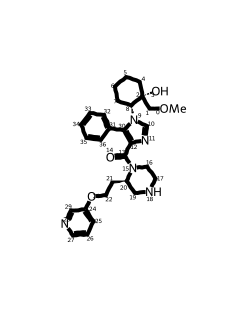 COC[C@]1(O)CCCC[C@H]1n1cnc(C(=O)N2CCNC[C@H]2CCOc2cccnc2)c1-c1ccccc1